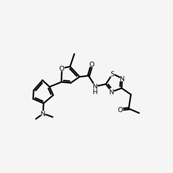 CC(=O)Cc1nsc(NC(=O)c2cc(-c3cccc(N(C)C)c3)oc2C)n1